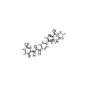 O=C(Nc1ccc(-c2ccc(C(=O)[C@H]3CCC[C@@H]3C(=O)O)nc2)cc1)Nc1cc(C(F)(F)F)ccc1F